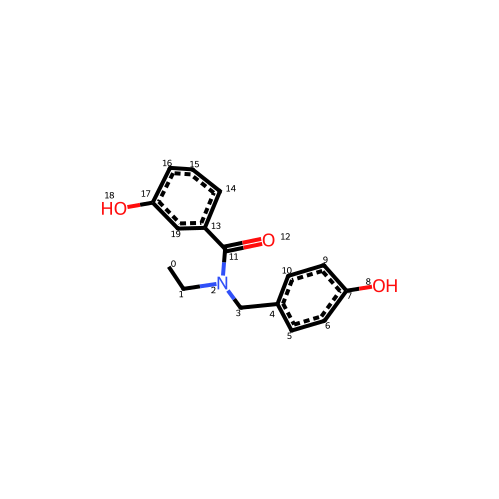 CCN(Cc1ccc(O)cc1)C(=O)c1cccc(O)c1